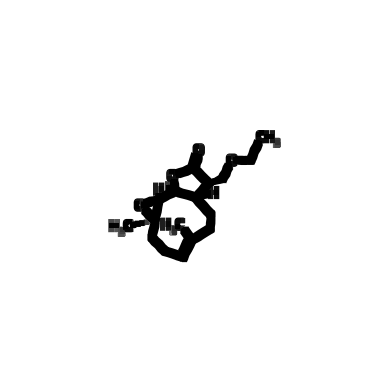 CCOC[C@@H]1C(=O)O[C@H]2[C@H]1CC/C(C)=C/CC[C@@]1(C)O[C@H]21